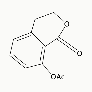 CC(=O)Oc1cccc2c1C(=O)OCC2